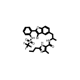 CCCc1nc(C)c(C(=O)NC(C)Cc2ccc3oc(-c4ccccc4NS(=O)(=O)C(F)(F)F)c(Br)c3c2)[nH]1